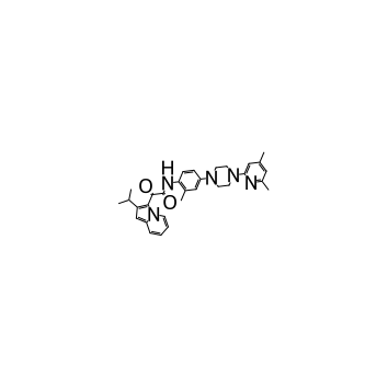 Cc1cc(C)nc(N2CCN(c3ccc(NC(=O)C(=O)c4c(C(C)C)cc5ccccn45)c(C)c3)CC2)c1